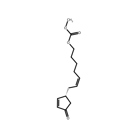 COC(=O)OCCCC/C=C\C[C@H]1C=CC(=O)C1